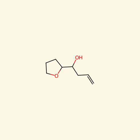 C=CCC(O)C1CCCO1